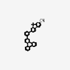 CC1(C)c2cc(C#N)ccc2-c2ccc(-c3cccc(-c4ccc5c6ccccc6c6ccccc6c5c4)c3)cc21